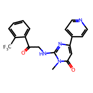 Cn1c(NCC(=O)c2ccccc2C(F)(F)F)nc(-c2ccncc2)cc1=O